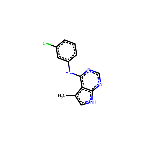 Cc1c[nH]c2ncnc(Nc3cccc(Cl)c3)c12